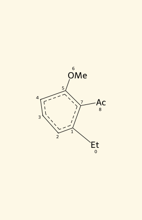 CCc1cccc(OC)c1C(C)=O